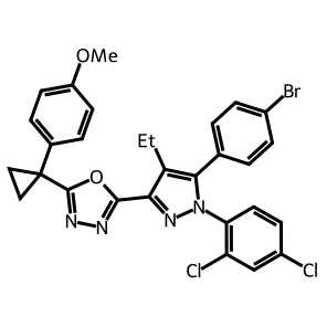 CCc1c(-c2nnc(C3(c4ccc(OC)cc4)CC3)o2)nn(-c2ccc(Cl)cc2Cl)c1-c1ccc(Br)cc1